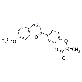 COc1ccc(/C=C\C(=O)c2ccc(O[C@@H](C)C(=O)O)cc2)cc1